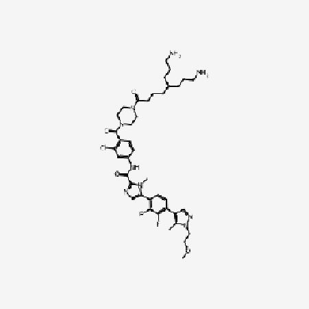 COCCn1ncc(-c2ccc(-c3cnc(C(=O)Nc4ccc(C(=O)N5CCN(C(=O)CCC[C](CCCN)CCCN)CC5)c(Cl)c4)n3C)c(F)c2F)c1C